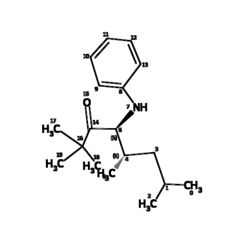 CC(C)C[C@H](C)[C@H](Nc1ccccc1)C(=O)C(C)(C)C